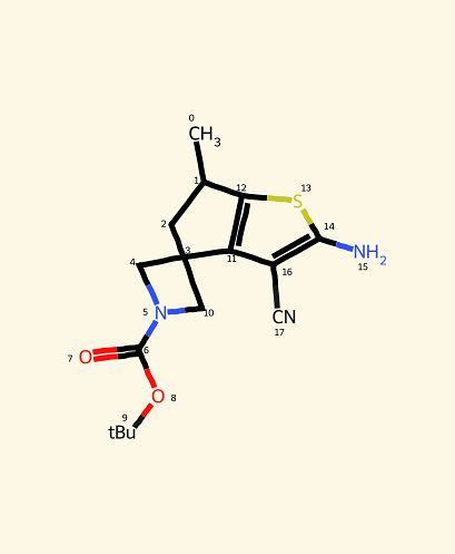 CC1CC2(CN(C(=O)OC(C)(C)C)C2)c2c1sc(N)c2C#N